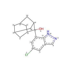 OC1(c2cc(Cl)cc3cn[nH]c23)C2CC3CC(C2)CC1C3